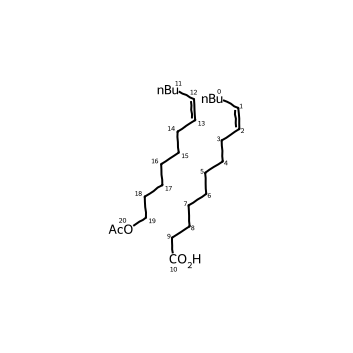 CCCC/C=C\CCCCCCCC(=O)O.CCCC/C=C\CCCCCCOC(C)=O